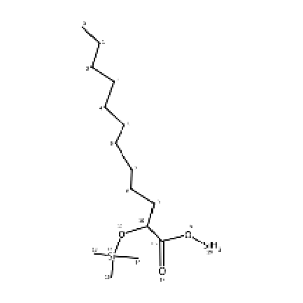 CCCCCCCCCCC(O[Si](C)(C)C)C(=O)O[SiH3]